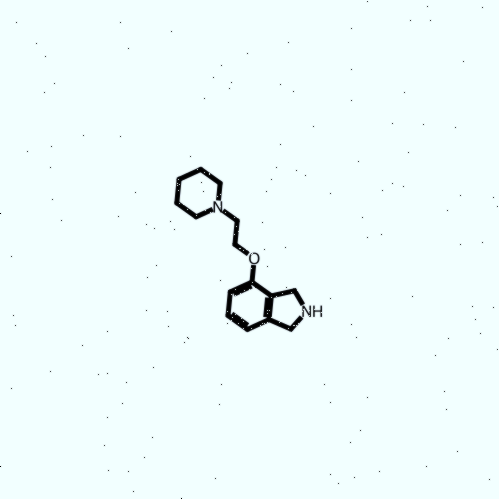 c1cc2c(c(OCCN3CCCCC3)c1)CNC2